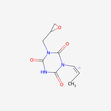 C/C=C\n1c(=O)[nH]c(=O)n(CC2CO2)c1=O